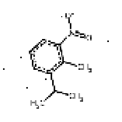 C[C](C)c1cccc([N+](=O)[O-])c1C